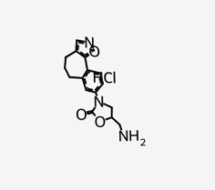 Cl.NCC1CN(c2ccc3c(c2)CCCc2cnoc2-3)C(=O)O1